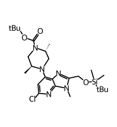 C[C@@H]1CN(c2cc(Cl)nc3c2nc(CO[Si](C)(C)C(C)(C)C)n3C)[C@@H](C)CN1C(=O)OC(C)(C)C